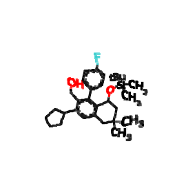 CC1(C)Cc2cc(C3CCCC3)c(CO)c(-c3ccc(F)cc3)c2C(O[Si](C)(C)C(C)(C)C)C1